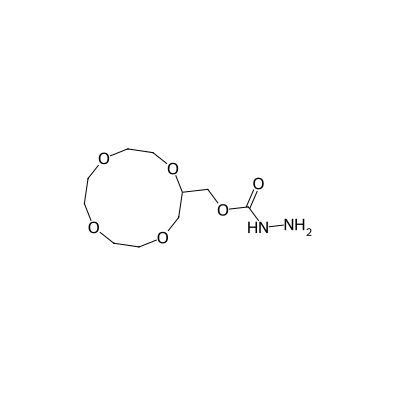 NNC(=O)OCC1COCCOCCOCCO1